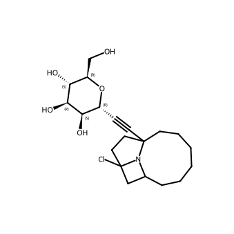 OC[C@H]1O[C@H](C#CC23CCCCCCC4CC(Cl)(CC2)N43)[C@@H](O)[C@@H](O)[C@@H]1O